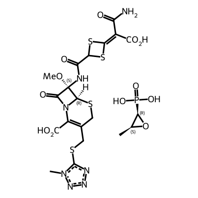 CO[C@@]1(NC(=O)C2SC(=C(C(N)=O)C(=O)O)S2)C(=O)N2C(C(=O)O)=C(CSc3nnnn3C)CS[C@@H]21.C[C@@H]1O[C@@H]1P(=O)(O)O